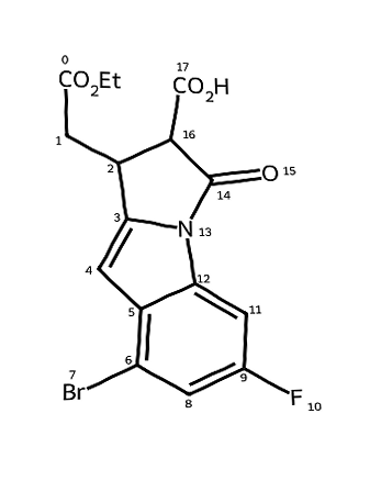 CCOC(=O)CC1c2cc3c(Br)cc(F)cc3n2C(=O)C1C(=O)O